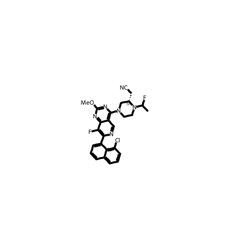 COc1nc(N2CCN(C(C)F)[C@@H](CC#N)C2)c2cnc(-c3cccc4cccc(Cl)c34)c(F)c2n1